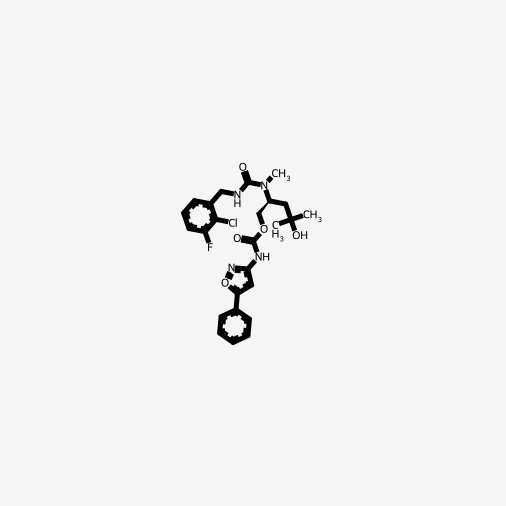 CN(C(=O)NCc1cccc(F)c1Cl)[C@H](COC(=O)Nc1cc(-c2ccccc2)on1)CC(C)(C)O